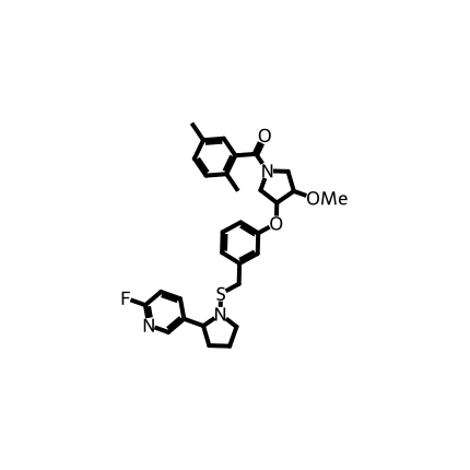 COC1CN(C(=O)c2cc(C)ccc2C)CC1Oc1cccc(CSN2CCCC2c2ccc(F)nc2)c1